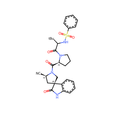 CC(C)(C)C(NS(=O)(=O)c1ccccc1)C(=O)N1CCC[C@H]1C(=O)N1C[C@]2(C[C@H]1C#N)C(=O)Nc1ccccc12